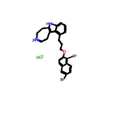 Brc1ccc2c(Br)c(OCCCc3cccc4[nH]c5c(c34)CCNCC5)ccc2c1.Cl